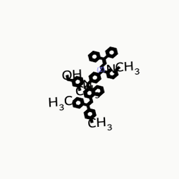 Cc1ccc(C(=Cc2ccc(N(c3ccc(/C(=C/C=C(c4ccccc4)c4ccccc4)c4cccc(C)n4)cc3)c3ccc(CO)cc3C)c3ccccc23)c2ccc(C)cc2)cc1